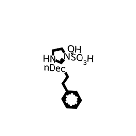 C1=NCCN1.CCCCCCCCCCCCc1ccccc1.O=S(=O)(O)O